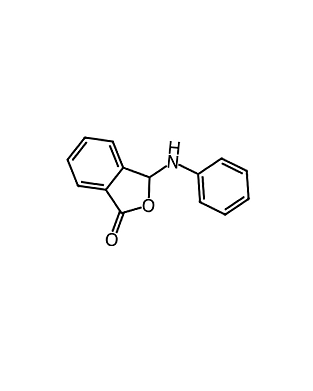 O=C1OC(Nc2ccccc2)c2ccccc21